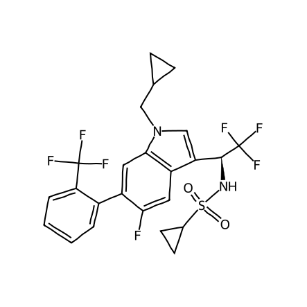 O=S(=O)(N[C@@H](c1cn(CC2CC2)c2cc(-c3ccccc3C(F)(F)F)c(F)cc12)C(F)(F)F)C1CC1